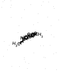 CCCCCC[C@]1(C#N)CC[C@H](C(=O)Oc2ccc(OC)cc2)CC1